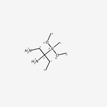 CCC(N)(CN)[Si](C)(OC)OC